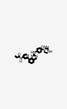 C=CC(=O)Nc1ccnc(-c2cccc3cnc(NC4=CCC(OC)(N5CCNCC5)C=C4)nc23)c1